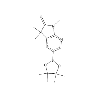 CN1C(=O)C(C)(C)c2cc(B3OC(C)(C)C(C)(C)O3)cnc21